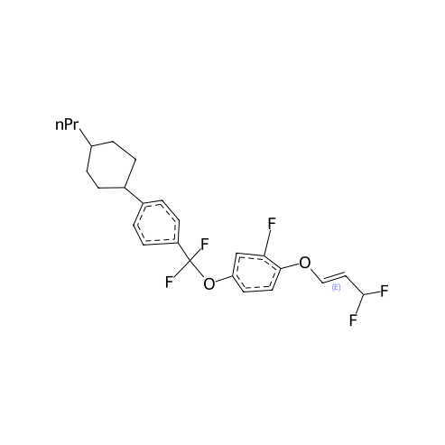 CCCC1CCC(c2ccc(C(F)(F)Oc3ccc(O/C=C/C(F)F)c(F)c3)cc2)CC1